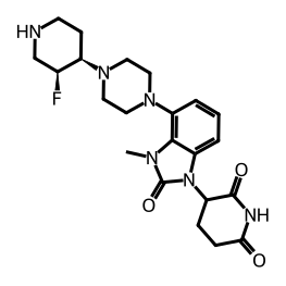 Cn1c(=O)n(C2CCC(=O)NC2=O)c2cccc(N3CCN([C@@H]4CCNC[C@@H]4F)CC3)c21